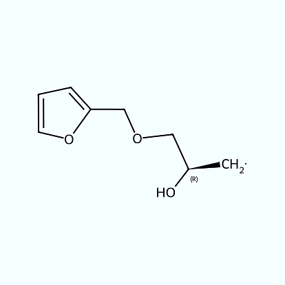 [CH2][C@@H](O)COCc1ccco1